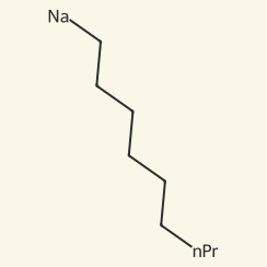 CCCCCCCC[CH2][Na]